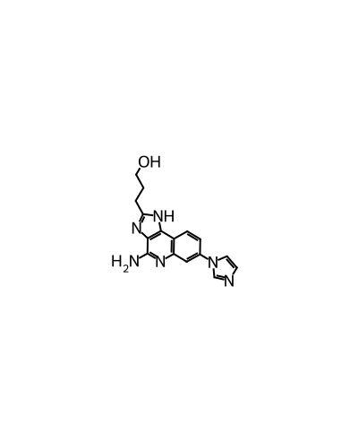 Nc1nc2cc(-n3ccnc3)ccc2c2[nH]c(CCCO)nc12